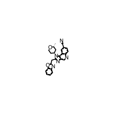 C[C@@H]1C[C@H](n2c(Cc3nc4ccccc4o3)nc3cnc4ccc(C#N)cc4c32)CCO1